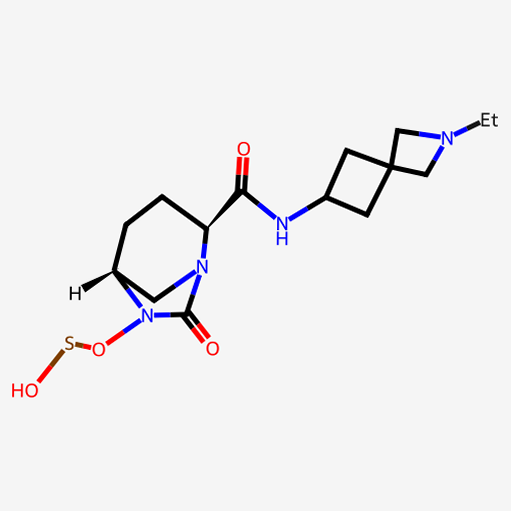 CCN1CC2(CC(NC(=O)[C@@H]3CC[C@@H]4CN3C(=O)N4OSO)C2)C1